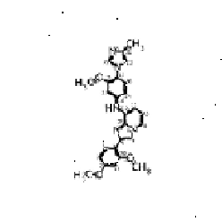 COc1ccc(-c2cn3cccc(Nc4ccc(-n5cnc(C)c5)c(OC)c4)c3n2)c(OC)c1